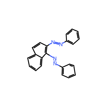 c1ccc(N=Nc2ccc3ccccc3c2N=Nc2ccccc2)cc1